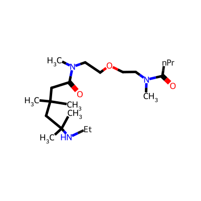 CCCC(=O)N(C)CCOCCN(C)C(=O)CC(C)(C)CC(C)(C)NCC